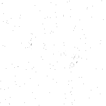 O=C(CCOCCOCCOCCOCCC(=O)ON1C(=O)CCC1=O)NCCC(=O)N1Cc2ccccc2C#Cc2ccccc21